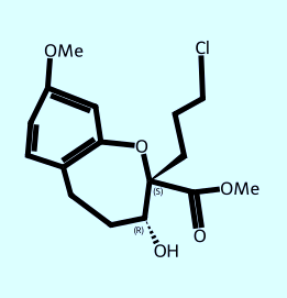 COC(=O)[C@@]1(CCCCl)Oc2cc(OC)ccc2CC[C@H]1O